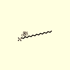 CCCCCCCCCCCCCCC(CC[N+](C)(C)C)S(=O)(=O)O